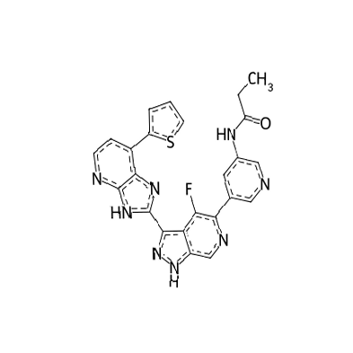 CCC(=O)Nc1cncc(-c2ncc3[nH]nc(-c4nc5c(-c6cccs6)ccnc5[nH]4)c3c2F)c1